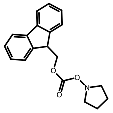 O=C(OCC1c2ccccc2-c2ccccc21)ON1CCCC1